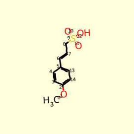 COc1ccc(/C=C/CS(=O)(=O)O)cc1